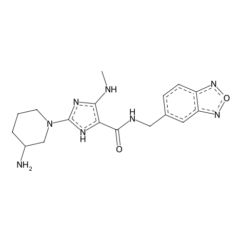 CNc1nc(N2CCCC(N)C2)[nH]c1C(=O)NCc1ccc2nonc2c1